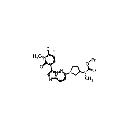 Cc1ccc(-c2cnc3ccc(N4CCC(N(C)C(=O)OC(C)C)C4)nn23)c(=O)n1C